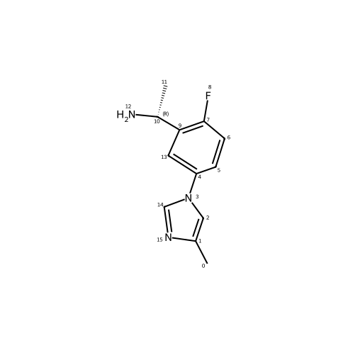 Cc1cn(-c2ccc(F)c([C@@H](C)N)c2)cn1